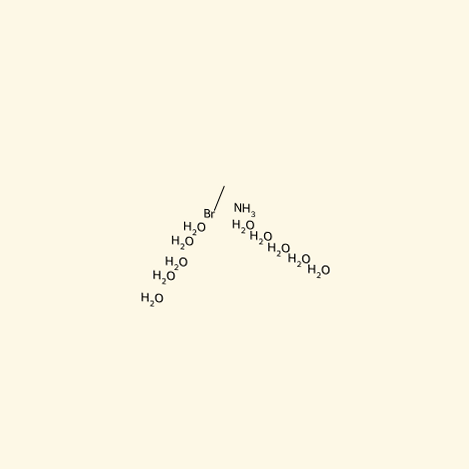 CBr.N.O.O.O.O.O.O.O.O.O.O